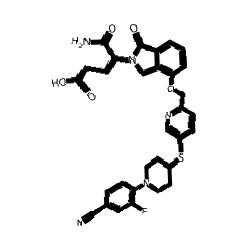 N#Cc1ccc(N2CCC(Sc3ccc(COc4cccc5c4CN(C(CCC(=O)O)C(N)=O)C5=O)nc3)CC2)c(F)c1